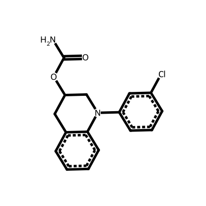 NC(=O)OC1Cc2ccccc2N(c2cccc(Cl)c2)C1